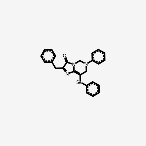 O=C1C(Cc2ccccc2)=NC2=C([Se]c3ccccc3)CN(c3ccccc3)CN12